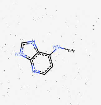 CCCNc1ccnc2[nH]cnc12